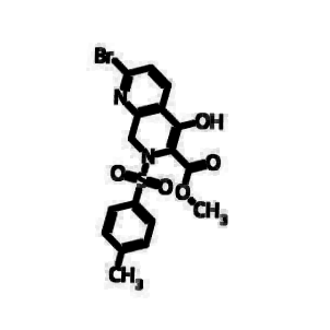 COC(=O)C1=C(O)c2ccc(Br)nc2CN1S(=O)(=O)c1ccc(C)cc1